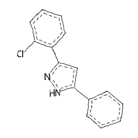 Clc1ccccc1-c1cc(-c2ccccc2)[nH]n1